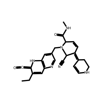 CCC1=Cc2ncc(CN3C(C#N)C(=C4C=CNCC4)C=CC3C(=O)NC)cc2NC1=C=O